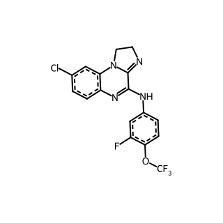 Fc1cc(NC2=Nc3ccc(Cl)cc3N3CCN=C23)ccc1OC(F)(F)F